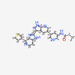 CC(C)CC(=O)Nc1cncc(-c2cnc3[nH]nc(-c4nc5c(-c6ccsc6)nccc5[nH]4)c3c2)c1